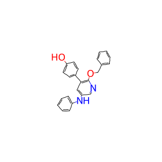 Oc1ccc(-c2cc(Nc3ccccc3)cnc2OCc2ccccc2)cc1